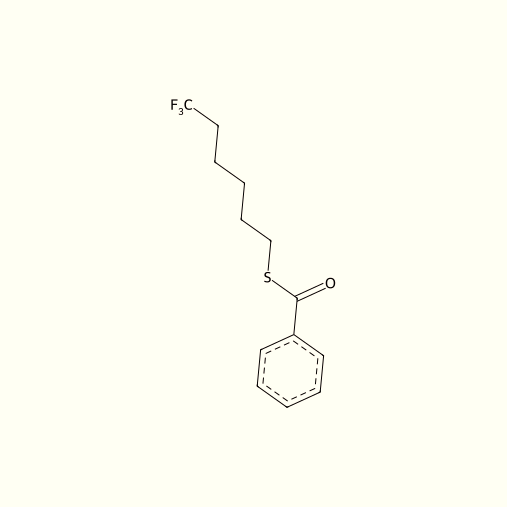 O=C(SCCCCCC(F)(F)F)c1ccccc1